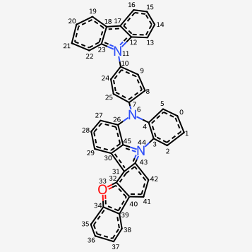 c1ccc2c(c1)N(c1ccc(-n3c4ccccc4c4ccccc43)cc1)c1cccc3c4c5oc6ccccc6c5ccc4n-2c13